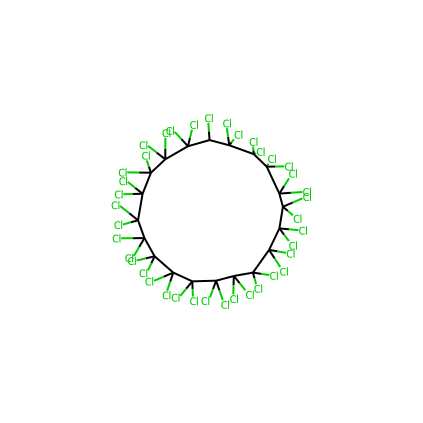 ClC1C(Cl)(Cl)C(Cl)(Cl)C(Cl)(Cl)C(Cl)(Cl)C(Cl)(Cl)C(Cl)(Cl)C(Cl)(Cl)C(Cl)(Cl)C(Cl)(Cl)C(Cl)(Cl)C(Cl)(Cl)C(Cl)(Cl)C(Cl)(Cl)C(Cl)(Cl)C(Cl)(Cl)C(Cl)(Cl)C(Cl)(Cl)C(Cl)(Cl)C1(Cl)Cl